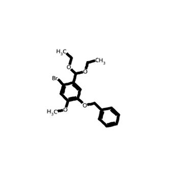 CCOC(OCC)c1cc(OCc2ccccc2)c(OC)cc1Br